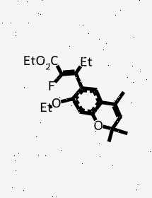 CCOC(=O)C(F)=C(CC)c1cc2c(cc1OCC)OC(C)(C)C=C2C